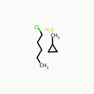 CC1CC1.CCCCCCl.S